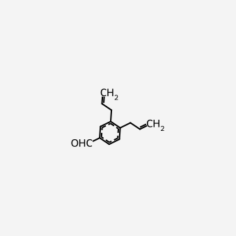 C=CCc1ccc(C=O)cc1CC=C